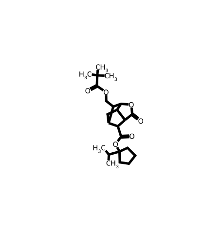 CC(C)C1(OC(=O)C2C3CC4C(OC(=O)C42)C3COC(=O)C(C)(C)C)CCCC1